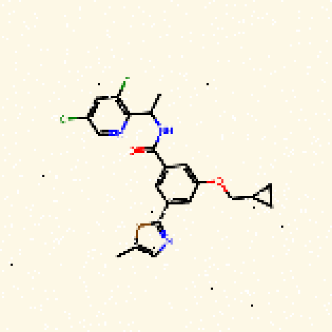 Cc1cnc(-c2cc(OCC3CC3)cc(C(=O)NC(C)c3ncc(Cl)cc3F)c2)s1